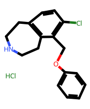 Cl.Clc1ccc2c(c1COc1ccccc1)CCNCC2